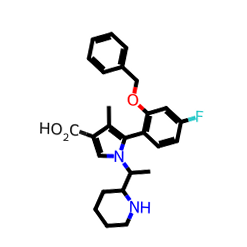 Cc1c(C(=O)O)cn(C(C)C2CCCCN2)c1-c1ccc(F)cc1OCc1ccccc1